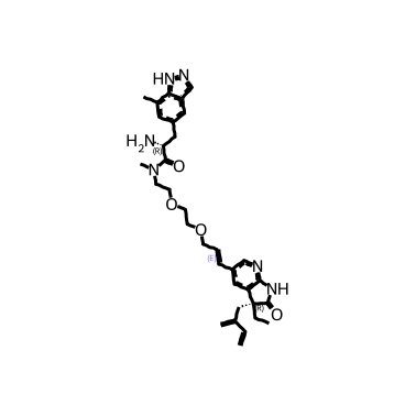 C=CC(=C)C[C@@]1(CC)C(=O)Nc2ncc(/C=C/COCCOCCN(C)C(=O)[C@H](N)Cc3cc(C)c4[nH]ncc4c3)cc21